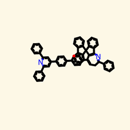 C1=C(c2ccc(-c3ccc(-c4cc(-c5ccccc5)nc(-c5ccccc5)c4)cc3)cc2)C2=C(N=C(c3ccccc3)C1)c1ccccc1C21c2ccccc2-c2ccccc21